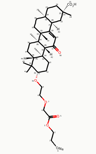 COCCOC(=O)COCCO[C@H]1CC[C@]2(C)[C@H]3C(=O)C=C4[C@@H]5C[C@@](C)(C(=O)O)CC[C@]5(C)CC[C@@]4(C)[C@]3(C)CC[C@H]2C1(C)C